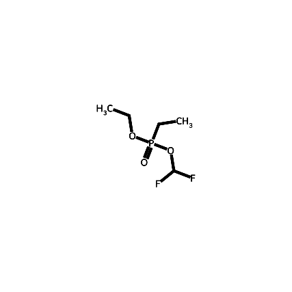 CCOP(=O)(CC)OC(F)F